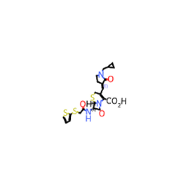 O=C(CSc1cccs1)N[C@@H]1C(=O)N2C(C(=O)O)=C(/C=C3\CCN(CC4CC4)C3=O)CS[C@H]12